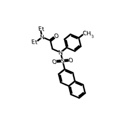 CCN(CC)C(=O)CN(c1ccc(C)cc1)S(=O)(=O)c1ccc2ccccc2c1